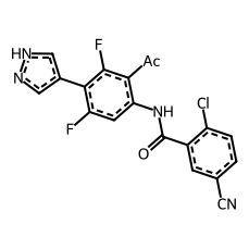 CC(=O)c1c(NC(=O)c2cc(C#N)ccc2Cl)cc(F)c(-c2cn[nH]c2)c1F